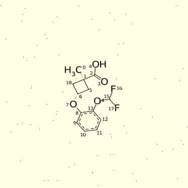 C[C@]1(C(=O)O)C[C@H](Oc2ccccc2OC(F)F)C1